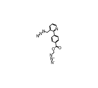 [N-]=[N+]=NCOC(=O)c1ccc(-c2ncccc2CN=[N+]=[N-])cc1